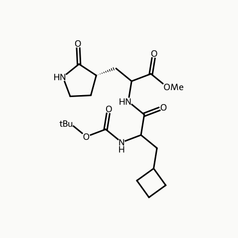 COC(=O)C(C[C@@H]1CCNC1=O)NC(=O)C(CC1CCC1)NC(=O)OC(C)(C)C